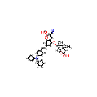 CC(C)(COc1cc(/C=C/c2ccc(N(c3ccccc3)c3ccccc3)cc2)ccc1/C=C(/C#N)C(=O)O)CC(C)(C)CC(=O)O